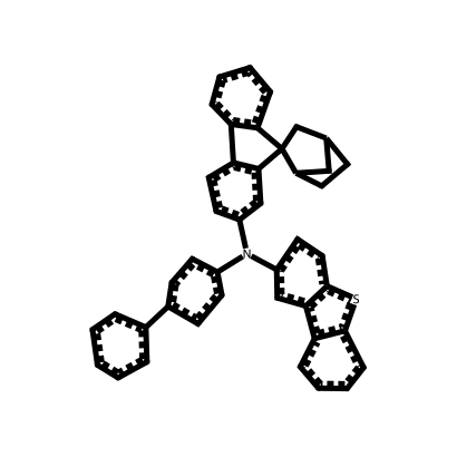 c1ccc(-c2ccc(N(c3ccc4c(c3)C3(CC5CCC3C5)c3ccccc3-4)c3ccc4sc5ccccc5c4c3)cc2)cc1